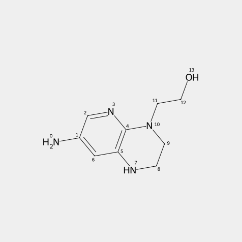 Nc1cnc2c(c1)NCCN2CCO